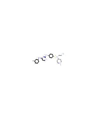 Cc1cc(Nc2ccnc(Nc3ccc(S(=O)(=O)N(CCN)C4CCN(C)CC4)cc3)n2)ccc1F